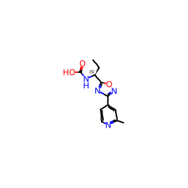 CC[C@H](NC(=O)O)c1nc(-c2ccnc(C)c2)no1